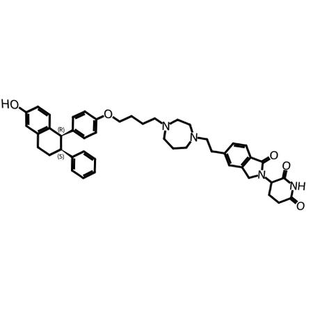 O=C1CCC(N2Cc3cc(CCN4CCCN(CCCCOc5ccc([C@@H]6c7ccc(O)cc7CC[C@@H]6c6ccccc6)cc5)CC4)ccc3C2=O)C(=O)N1